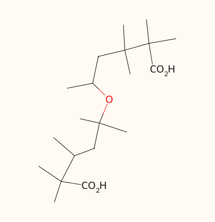 CC(CC(C)(C)C(C)(C)C(=O)O)OC(C)(C)CC(C)C(C)(C)C(=O)O